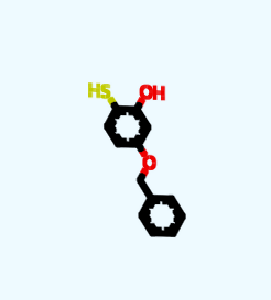 Oc1cc(OCc2ccccc2)ccc1S